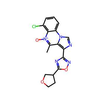 Cc1c2c(-c3noc(C4CCOC4)n3)ncn2c2cccc(Cl)c2[n+]1[O-]